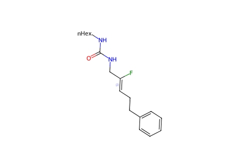 CCCCCCNC(=O)NC/C(F)=C/CCc1ccccc1